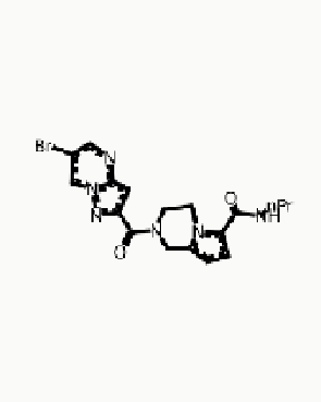 CCCNC(=O)c1ccc2n1CCN(C(=O)c1cc3ncc(Br)cn3n1)C2